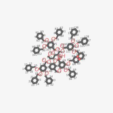 O=C[C@H](OC(=O)c1cc(OCc2ccccc2)c(OCc2ccccc2)c(OCc2ccccc2)c1)[C@@H](OC(=O)c1cc(OCc2ccccc2)c(OCc2ccccc2)c(OCc2ccccc2)c1)[C@H](OC(=O)c1cc(OCc2ccccc2)c(OCc2ccccc2)c(OCc2ccccc2)c1)[C@H](O)COC(=O)c1cc(OCc2ccccc2)c(OCc2ccccc2)c(OCc2ccccc2)c1